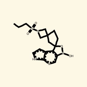 CCCS(=O)(=O)N1CC2(CCC3(C2)OB(O)c2cnc4[nH]ccc4c23)C1